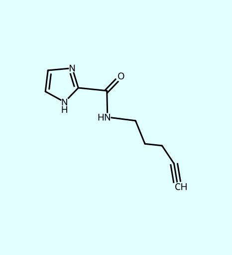 C#CCCCNC(=O)c1ncc[nH]1